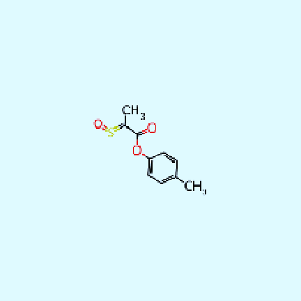 CC(=S=O)C(=O)Oc1ccc(C)cc1